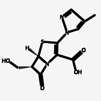 Cc1cnn(C2=C(C(=O)O)N3C(=O)[C@H](CO)[C@H]3S2)c1